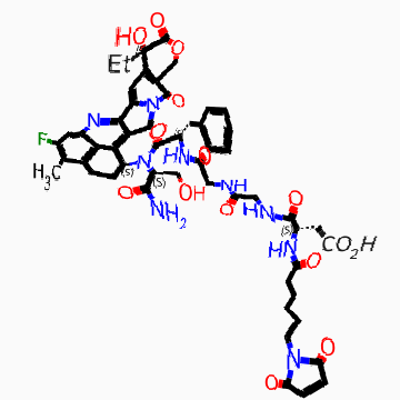 CC[C@@]1(O)C(=O)OCc2c1cc1n(c2=O)Cc2c-1nc1cc(F)c(C)c3c1c2[C@@H](N(C(=O)[C@H](Cc1ccccc1)NC(=O)CNC(=O)CNC(=O)[C@H](CC(=O)O)NC(=O)CCCCCN1C(=O)C=CC1=O)[C@@H](CO)C(N)=O)CC3